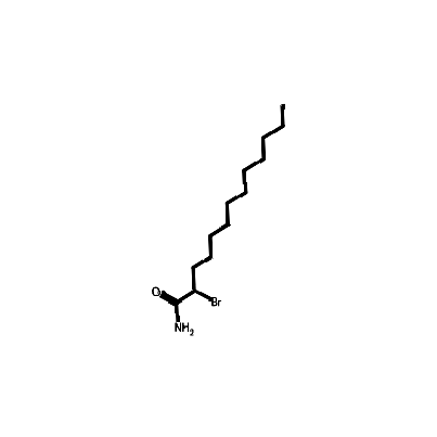 CCCCCCCCCCCC(Br)C(N)=O